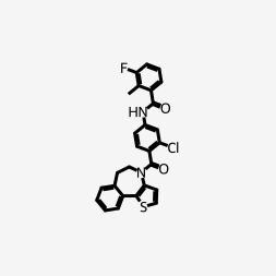 Cc1c(F)cccc1C(=O)Nc1ccc(C(=O)N2CCc3ccccc3-c3sccc32)c(Cl)c1